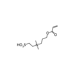 C=CC(=O)OCCC[N+](C)(C)CCS(=O)(=O)O